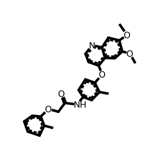 COc1cc2nccc(Oc3ccc(NC(=O)COc4ccccc4C)cc3C)c2cc1OC